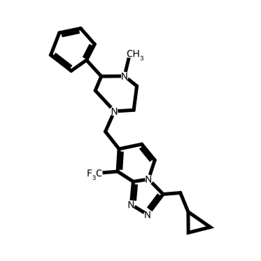 CN1CCN(Cc2ccn3c(CC4CC4)nnc3c2C(F)(F)F)CC1c1ccccc1